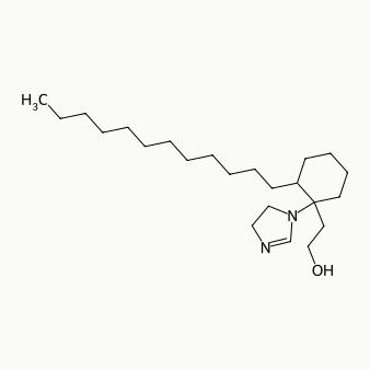 CCCCCCCCCCCCC1CCCCC1(CCO)N1C=NCC1